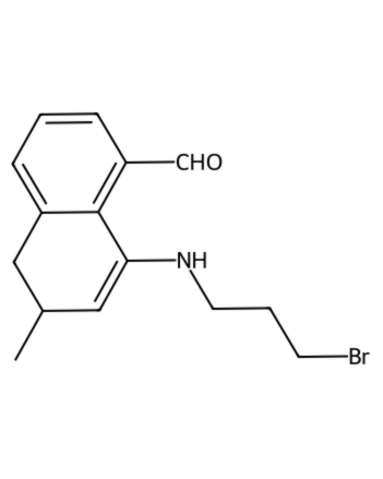 CC1C=C(NCCCBr)c2c(C=O)cccc2C1